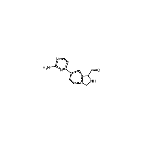 Nc1nccc(-c2ccc3c(c2)C(C=O)NC3)n1